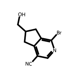 N#Cc1cnc(Br)c2c1CC(CO)C2